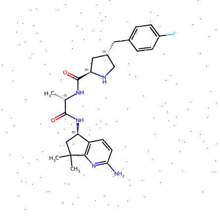 C[C@H](NC(=O)[C@H]1C[C@H](Cc2ccc(F)cc2)CN1)C(=O)N[C@@H]1CC(C)(C)c2nc(N)ccc21